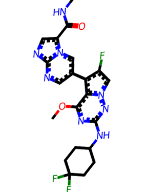 CNC(=O)c1cnc2ncc(-c3c(F)cn4nc(NC5CCC(F)(F)CC5)nc(OC)c34)cn12